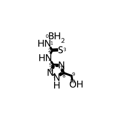 BNC(=S)Nc1n[nH]c(CO)n1